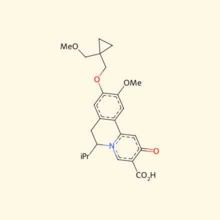 COCC1(COc2cc3c(cc2OC)-c2cc(=O)c(C(=O)O)cn2C(C(C)C)C3)CC1